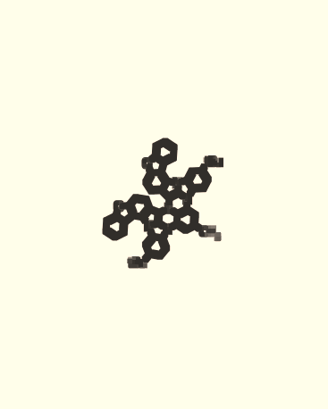 Cc1cc2c3c(c1)-n1c4ccc(C(C)(C)C)cc4n4c5c(ccc6oc7ccccc7c65)c(c14)B3c1c3ccc4oc5ccccc5c4c3n3c4cc(C(C)(C)C)ccc4n-2c13